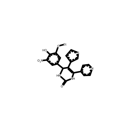 CCOc1cc(C2NC(=O)NC(c3ccncc3)=C2c2ccsc2)cc([N+](=O)[O-])c1O